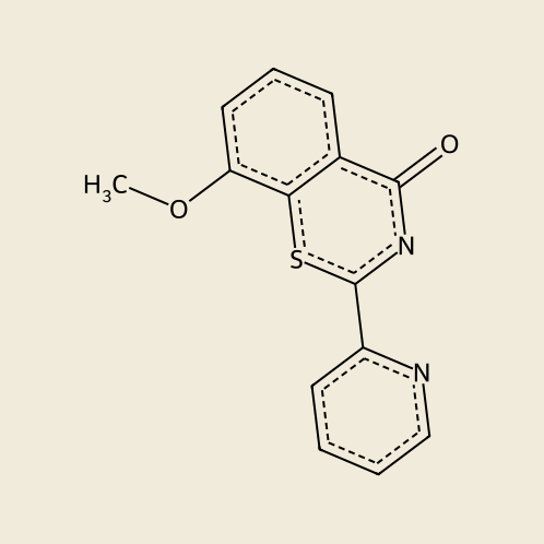 COc1cccc2c(=O)nc(-c3ccccn3)sc12